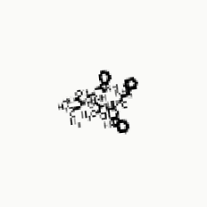 CC(C)C[C@H](NC(=O)[C@H](Cc1c[nH]c2ccccc12)NC(=O)[C@@H](NC(=O)[C@H](Cc1c[nH]c2ccccc12)NC(=O)[C@@H](N)Cc1ccccc1)C(C)C)C(=O)O